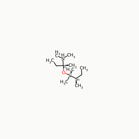 CC[C@@H](C)[Si](C)(C)O[C@](C)(CC)[SiH](C)C